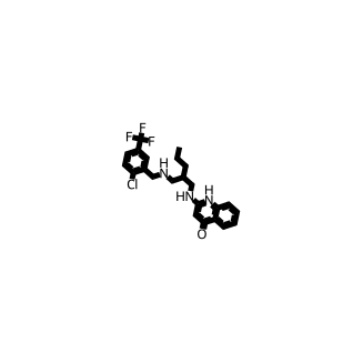 CCCC(CNCc1cc(C(F)(F)F)ccc1Cl)CNc1cc(=O)c2ccccc2[nH]1